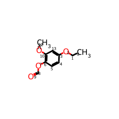 CCOc1ccc(OC=O)c(OC)c1